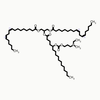 CCCCC/C=C\C/C=C\CCCCCCCC(=O)OCC(COC(=O)CCCCCCC/C=C\C/C=C\CCCCC)OC(=O)CCCC(CCCCCCCCCCCC)OC(=O)OCCCN(C)CC